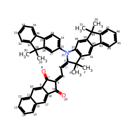 CC1(C)/C(=C\C=C2C(=O)c3cc4ccccc4cc3C2=O)N(c2ccc3c(c2)C(C)(C)c2ccccc2-3)c2cc3c(cc21)-c1ccccc1C3(C)C